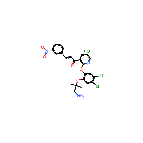 CC(C)(CN)Oc1cc(Cl)c(Cl)cc1Oc1ncccc1C(=O)C=Cc1cccc([N+](=O)[O-])c1.Cl